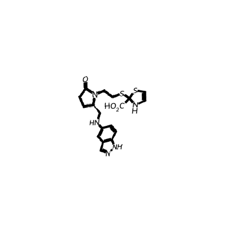 O=C1CC[C@H](CNc2ccc3[nH]ncc3c2)N1CCSC1(C(=O)O)NC=CS1